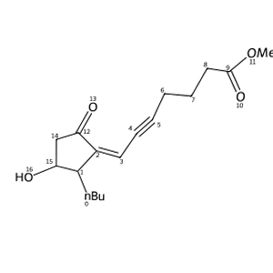 CCCCC1C(=CC#CCCCC(=O)OC)C(=O)CC1O